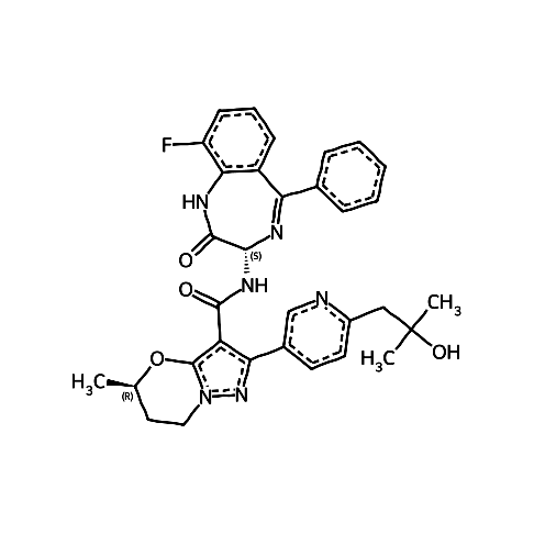 C[C@@H]1CCn2nc(-c3ccc(CC(C)(C)O)nc3)c(C(=O)N[C@H]3N=C(c4ccccc4)c4cccc(F)c4NC3=O)c2O1